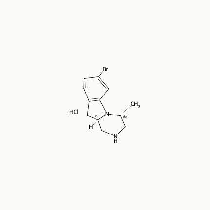 C[C@@H]1CNC[C@H]2Cc3ccc(Br)cc3N21.Cl